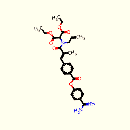 C=CCN(C(=O)/C(C)=C/c1ccc(C(=O)Oc2ccc(C(=N)N)cc2)cc1)C(C(=O)OCC)C(=O)OCC